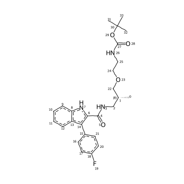 C[C@H](CNC(=O)c1[nH]c2ccccc2c1-c1ccc(F)cc1)COCCNC(=O)OC(C)(C)C